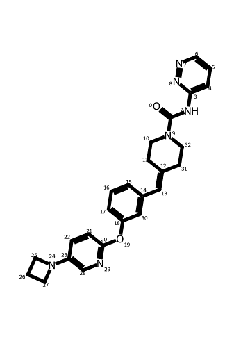 O=C(Nc1cccnn1)N1CCC(=Cc2cccc(Oc3ccc(N4CCC4)cn3)c2)CC1